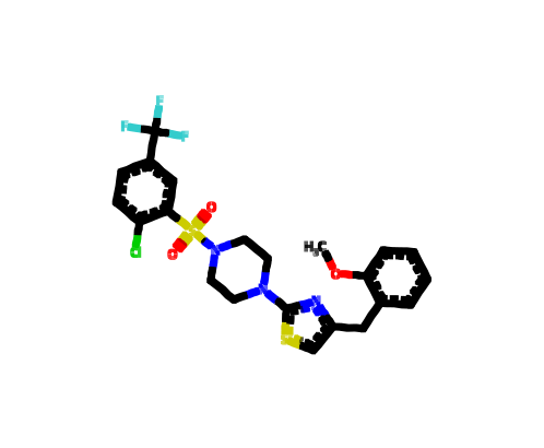 COc1ccccc1Cc1csc(N2CCN(S(=O)(=O)c3cc(C(F)(F)F)ccc3Cl)CC2)n1